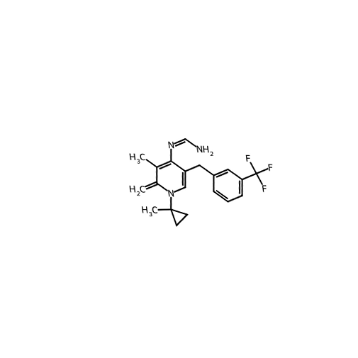 C=C1C(C)=C(/N=C\N)C(Cc2cccc(C(F)(F)F)c2)=CN1C1(C)CC1